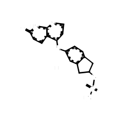 Cl.Cl.NS(=O)(=O)NC1Cc2ccc(Nc3ccnc4[nH]c(=O)ccc34)cc2C1